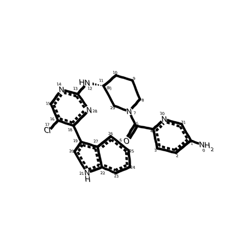 Nc1ccc(C(=O)N2CCC[C@@H](Nc3ncc(Cl)c(-c4c[nH]c5ccccc45)n3)C2)nc1